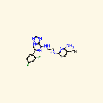 N#Cc1ccc(NCCNc2nc(-c3ccc(F)cc3F)cn3ncnc23)nc1N